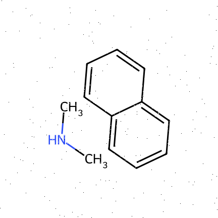 CNC.c1ccc2ccccc2c1